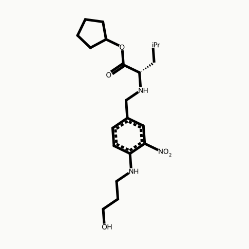 CC(C)C[C@H](NCc1ccc(NCCCO)c([N+](=O)[O-])c1)C(=O)OC1CCCC1